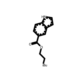 CCC(C)CCOC(=O)c1ccc2[nH]ccc2c1